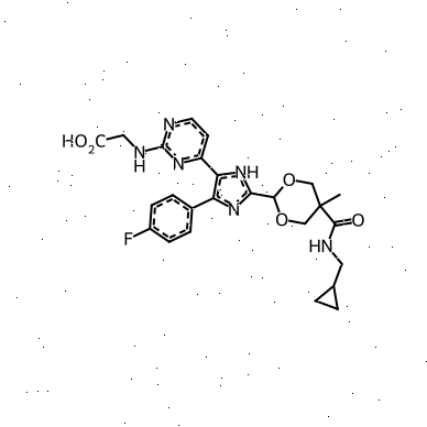 CC1(C(=O)NCC2CC2)COC(c2nc(-c3ccc(F)cc3)c(-c3ccnc(NCC(=O)O)n3)[nH]2)OC1